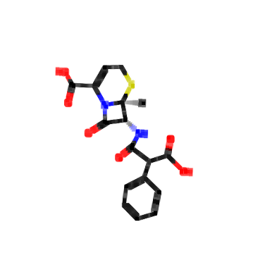 O=C(O)C1=CCS[C@H]2[C@H](NC(=O)C(C(=O)O)c3ccccc3)C(=O)N12